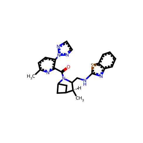 Cc1ccc(-n2nccn2)c(C(=O)N2C3CC(C3)[C@H](C)C2CNc2nc3ccccc3s2)n1